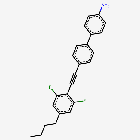 CCCCc1cc(F)c(C#Cc2ccc(-c3ccc(N)cc3)cc2)c(F)c1